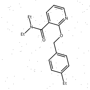 CCc1ccc(COc2ncccc2C(=O)N(CC)CC)cc1